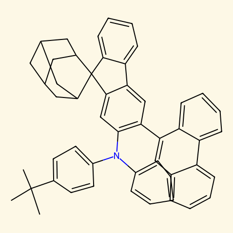 CC(C)(C)c1ccc(N(c2ccccc2)c2cc3c(cc2-c2cc4ccccc4c4ccccc24)-c2ccccc2C32C3CC4CC(C3)CC2C4)cc1